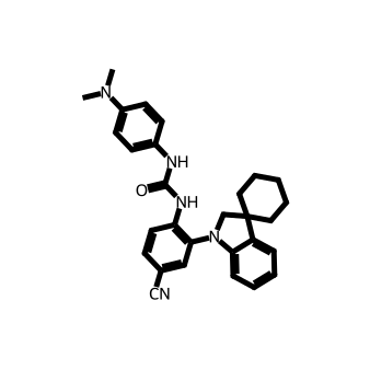 CN(C)c1ccc(NC(=O)Nc2ccc(C#N)cc2N2CC3(CCCCC3)c3ccccc32)cc1